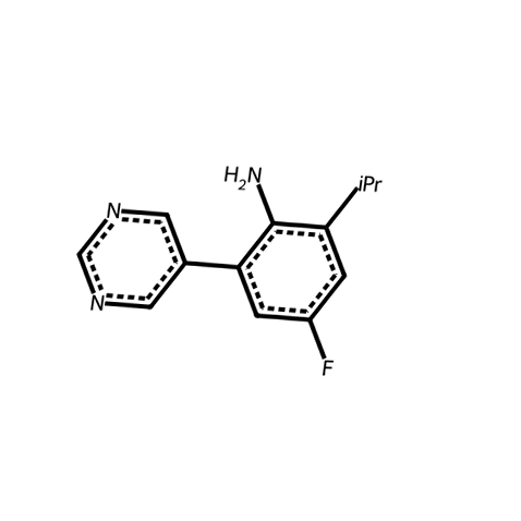 CC(C)c1cc(F)cc(-c2cncnc2)c1N